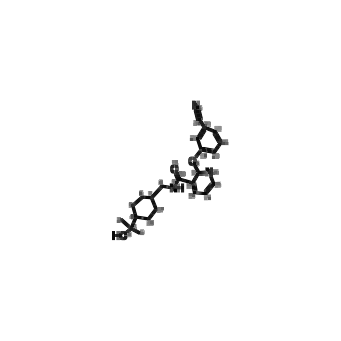 CC(C)(O)C1CCC(CNC(=O)c2cccnc2Oc2cccc(C#N)c2)CC1